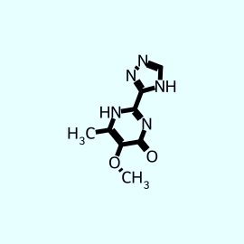 COc1c(C)[nH]c(-c2nnc[nH]2)nc1=O